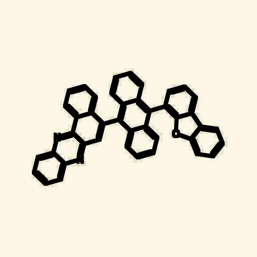 c1ccc2nc3c(cc(-c4c5ccccc5c(-c5cccc6c5oc5ccccc56)c5ccccc45)c4ccccc43)nc2c1